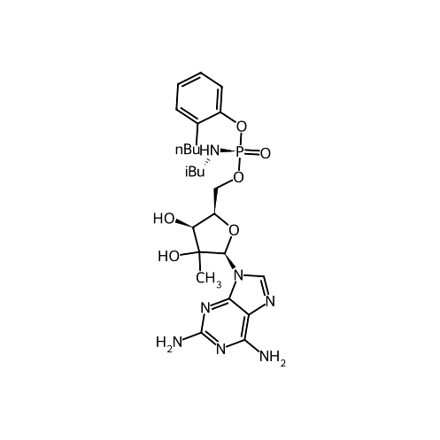 CCCCc1ccccc1O[P@@](=O)(N[C@@H](C)CC)OC[C@H]1O[C@@H](n2cnc3c(N)nc(N)nc32)C(C)(O)[C@H]1O